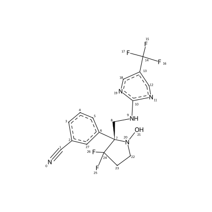 N#Cc1cccc([C@]2(CNc3ncc(C(F)(F)F)cn3)N(O)CCC2(F)F)c1